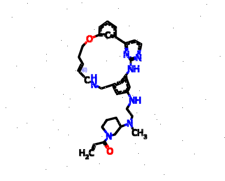 C=CC(=O)N1CCCC(N(C)CCNc2cc3cc(c2)Nc2nccc(n2)-c2cccc(c2)OCC/C=C/CNC3)C1